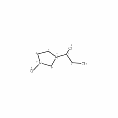 ClCC(Cl)N1CCN(Cl)C1